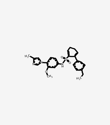 CCc1ccc(C2=CCCC=C2S(=O)(=O)Nc2ccc(-n3cnc(C)c3)c(OC)c2)cc1